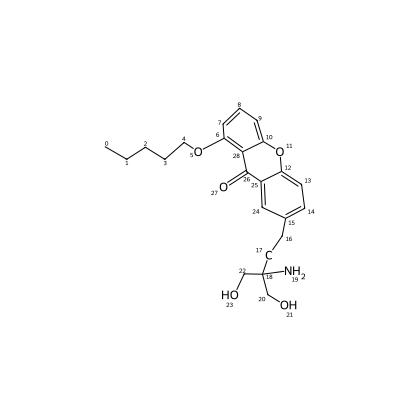 CCCCCOc1cccc2oc3ccc(CCC(N)(CO)CO)cc3c(=O)c12